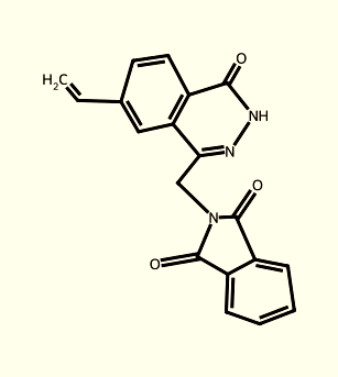 C=Cc1ccc2c(=O)[nH]nc(CN3C(=O)c4ccccc4C3=O)c2c1